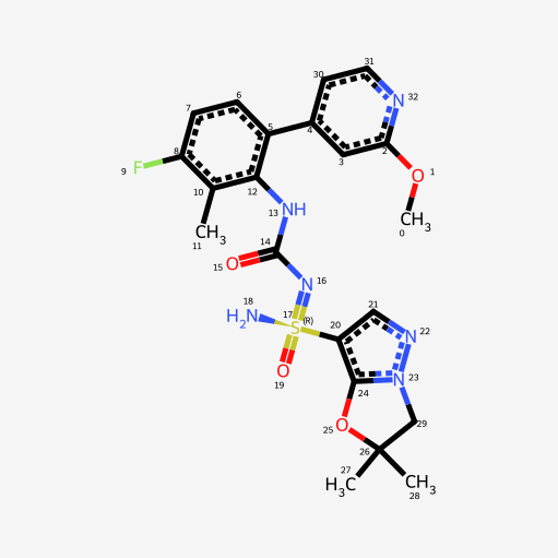 COc1cc(-c2ccc(F)c(C)c2NC(=O)N=[S@@](N)(=O)c2cnn3c2OC(C)(C)C3)ccn1